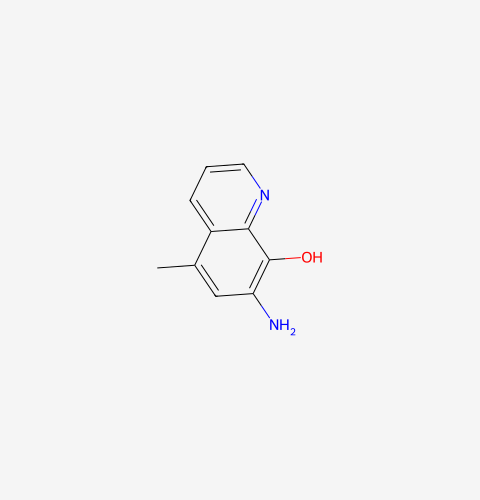 Cc1cc(N)c(O)c2ncccc12